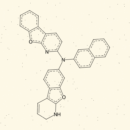 C1=Cc2c(oc3cc(N(c4ccc5ccccc5c4)c4ccc5c(n4)oc4ccccc45)ccc23)NC1